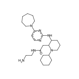 NCCNC(=O)CC1C(Nc2nccc(N3CCCCCC3)n2)CCCN1C1CCCCC1